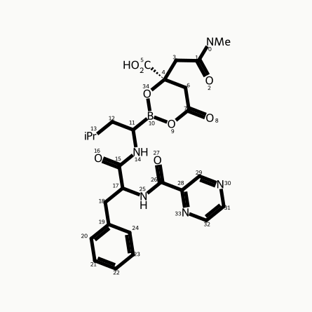 CNC(=O)C[C@@]1(C(=O)O)CC(=O)OB(C(CC(C)C)NC(=O)C(Cc2ccccc2)NC(=O)c2cnccn2)O1